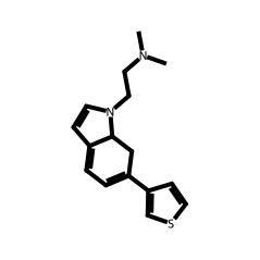 CN(C)CCN1C=CC2=CC=C(c3ccsc3)CC21